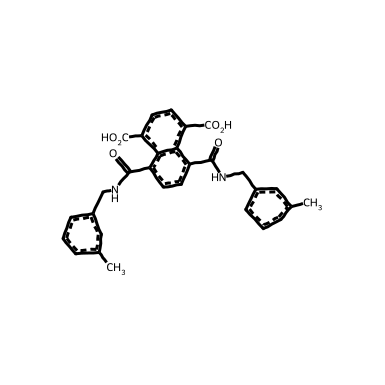 Cc1cccc(CNC(=O)c2ccc(C(=O)NCc3cccc(C)c3)c3c(C(=O)O)ccc(C(=O)O)c23)c1